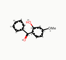 [CH2]Oc1ccc(C(=O)c2ccccc2)c(O)c1